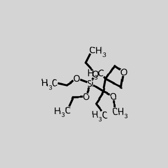 CCO[Si](OCC)(OCC)C(CC)(OC)C1(C)COC1